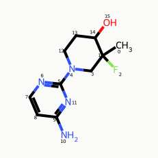 CC1(F)CN(c2nccc(N)n2)CCC1O